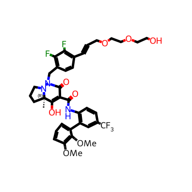 COc1cccc(-c2cc(C(F)(F)F)ccc2NC(=O)C2=C(O)[C@@]3(C)CCCN3N(Cc3ccc(C#CCOCCOCCO)c(F)c3F)C2=O)c1OC